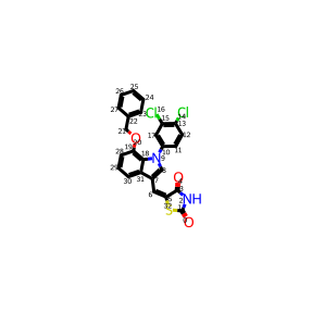 O=C1NC(=O)/C(=C\c2cn(-c3ccc(Cl)c(Cl)c3)c3c(OCc4ccccc4)cccc23)S1